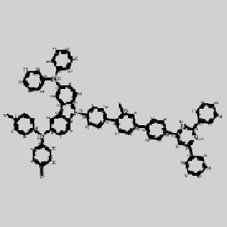 Cc1ccc(N(c2ccc(C)cc2)c2ccc3c(c2)c2cc(N(c4ccccc4)c4ccccc4)ccc2n3-c2ccc(-c3ccc(-c4ccc(-c5cc(-c6ccccc6)nc(-c6ccccc6)n5)cc4)cc3C)cc2)cc1